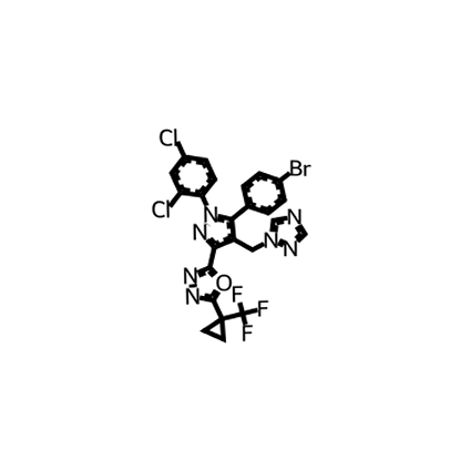 FC(F)(F)C1(c2nnc(-c3nn(-c4ccc(Cl)cc4Cl)c(-c4ccc(Br)cc4)c3Cn3cncn3)o2)CC1